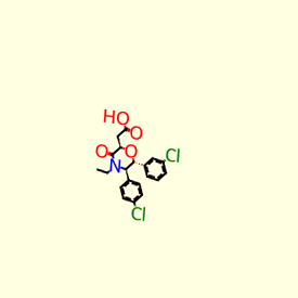 CCN1C(=O)[C@@H](CC(=O)O)O[C@H](c2cccc(Cl)c2)[C@H]1c1ccc(Cl)cc1